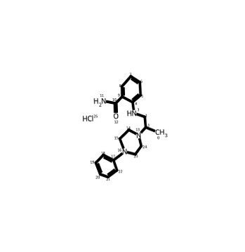 CC(CNc1ccccc1C(N)=O)N1CCN(c2ccccc2)CC1.Cl